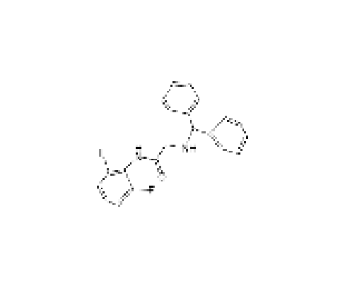 O=C(CNC(c1ccccc1)c1ccccc1)Nc1c(F)cccc1F